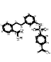 CC(=O)c1ccc(S(=O)(=O)Nc2cccc(CCc3ccccc3C(=O)O)c2)cc1